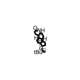 CC(C)(C)[Si](C)(C)OC1CC[C@H]2[C@@H]3CC=C4NC(=O)CC[C@]4(C)[C@@H]3CC[C@]12C